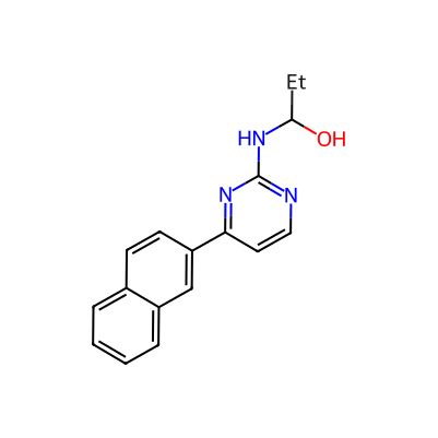 CCC(O)Nc1nccc(-c2ccc3ccccc3c2)n1